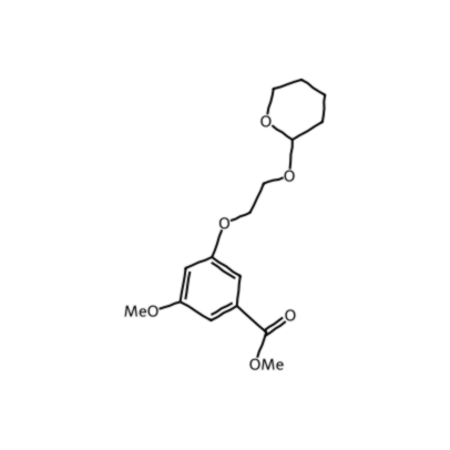 COC(=O)c1cc(OC)cc(OCCOC2CCCCO2)c1